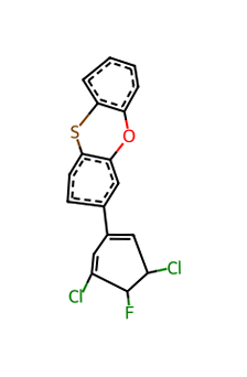 FC1C(Cl)=CC(c2ccc3c(c2)Oc2ccccc2S3)=CC1Cl